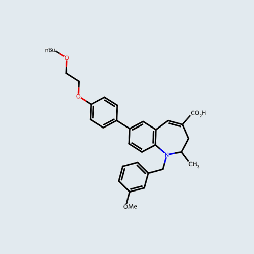 CCCCOCCOc1ccc(-c2ccc3c(c2)C=C(C(=O)O)CC(C)N3Cc2cccc(OC)c2)cc1